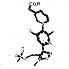 CCOC(=O)CC1CCCN(c2c(F)cc(-c3nnn(C)c3COS(C)(=O)=O)nc2C)C1